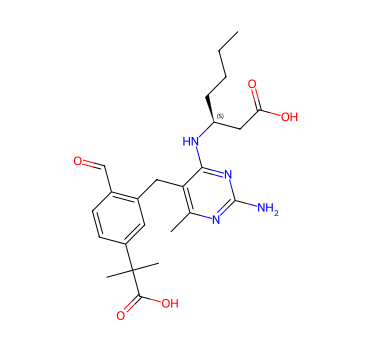 CCCC[C@@H](CC(=O)O)Nc1nc(N)nc(C)c1Cc1cc(C(C)(C)C(=O)O)ccc1C=O